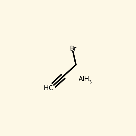 C#CCBr.[AlH3]